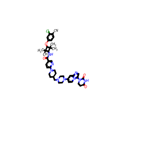 CC1(C)C(NC(=O)c2ccc(N3CCC(CN4CCN(c5ccn6c(N7CCC(=O)NC7=O)cnc6c5)CC4)CC3)nc2)C(C)(C)C1Oc1ccc(C#N)c(Cl)c1